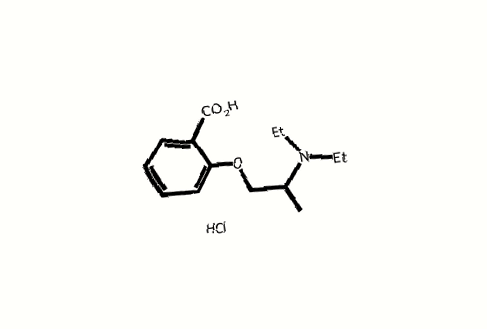 CCN(CC)C(C)COc1ccccc1C(=O)O.Cl